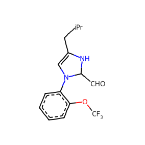 CC(C)CC1=CN(c2ccccc2OC(F)(F)F)C(C=O)N1